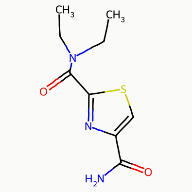 CCN(CC)C(=O)c1nc(C(N)=O)cs1